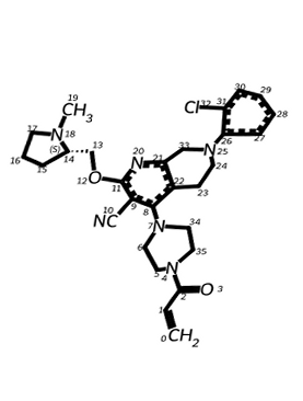 C=CC(=O)N1CCN(c2c(C#N)c(OC[C@@H]3CCCN3C)nc3c2CCN(c2ccccc2Cl)C3)CC1